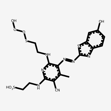 Cc1c(C#N)c(NCCS(=O)(=O)O)nc(NCCSOOO)c1N=Nc1nc2ccc(O)cc2s1